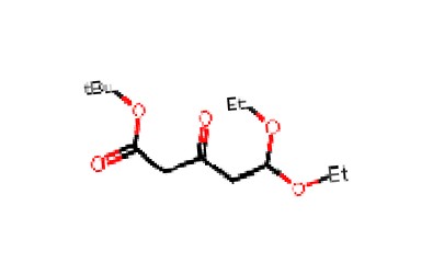 CCOC(CC(=O)CC(=O)OC(C)(C)C)OCC